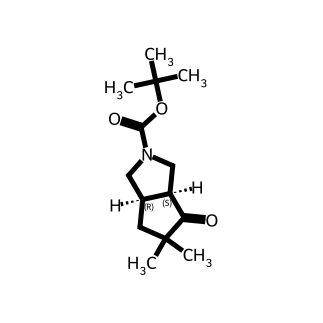 CC(C)(C)OC(=O)N1C[C@@H]2CC(C)(C)C(=O)[C@@H]2C1